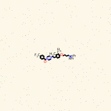 CCCN(CCC)CCCCOc1ccc(CCN2CCN(C(=O)c3ccc(C(F)(F)F)cc3)CC2)c(C)c1C